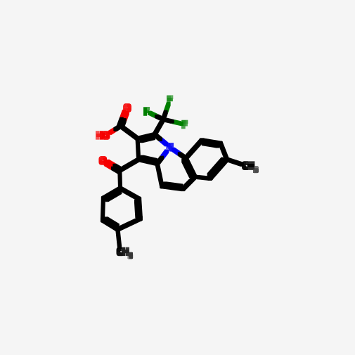 Cc1ccc(C(=O)c2c(C(=O)O)c(C(F)(F)F)n3c2ccc2cc(C)ccc23)cc1